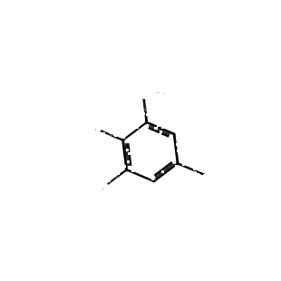 [CH2]c1cc(CCCCCC)c(CCCCCC)c(CCCCCC)c1